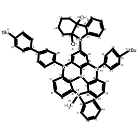 CC(C)(C)c1ccc(-c2ccc(N3c4cc(N5c6ccccc6C6(C)CCCCC56C)cc5c4B4c6c3cccc6[Si](C)(c3ccccc3)c3cccc(c34)N5c3ccc(C(C)(C)C)cc3)cc2)cc1